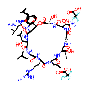 CC[C@H](C)[C@@H]1NC(=O)[C@@H](CCCNC(=N)N)NC(=O)[C@H](CC(C)C)NC(=O)C([C@H](O)C(C)C)NC(=O)C(NC(=O)[C@H](CC(C)C)NC(=O)[C@H](N)CC(C)C)[C@@H](c2ccccc2)OC(=O)[C@H](CO)NC(=O)[C@H]([C@H](O)C(N)=O)NC(=O)CNC(=O)[C@H]([C@H](C)O)NC1=O.O=C(O)C(F)(F)F.O=C(O)C(F)(F)F